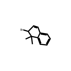 CC1(C)c2ccccc2C=CC1Br